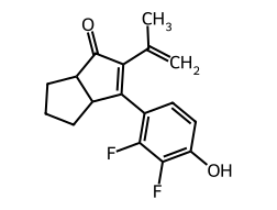 C=C(C)C1=C(c2ccc(O)c(F)c2F)C2CCCC2C1=O